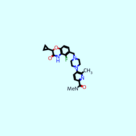 CNC(=O)c1ccc(N2CCN(Cc3ccc4c(c3F)NC(=O)C(C3CC3)O4)CC2)c(C)n1